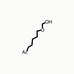 CC(=O)CCCCCOCO